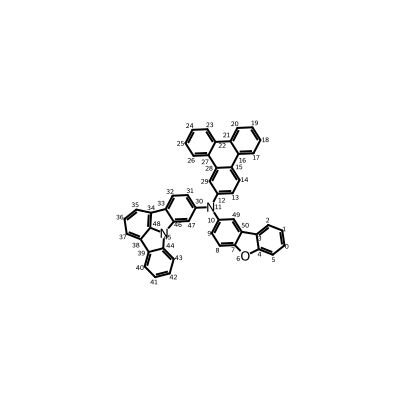 c1ccc2c(c1)oc1ccc(N(c3ccc4c5ccccc5c5ccccc5c4c3)c3ccc4c5cccc6c7ccccc7n(c4c3)c65)cc12